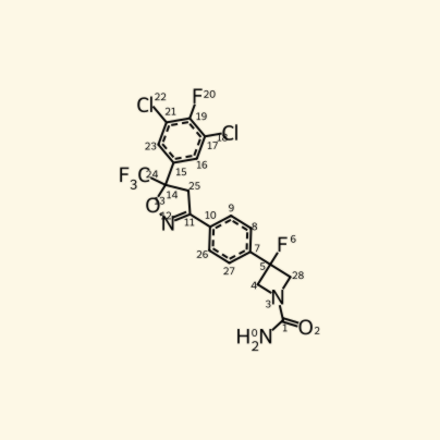 NC(=O)N1CC(F)(c2ccc(C3=NOC(c4cc(Cl)c(F)c(Cl)c4)(C(F)(F)F)C3)cc2)C1